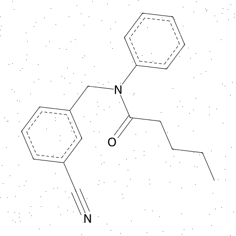 CCCCC(=O)N(Cc1cccc(C#N)c1)c1ccccc1